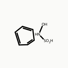 O=S(=O)(O)NO.c1ccccc1